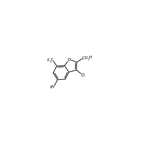 CC(C)c1cc(C(F)(F)F)c2oc(C(=O)O)c(Cl)c2c1